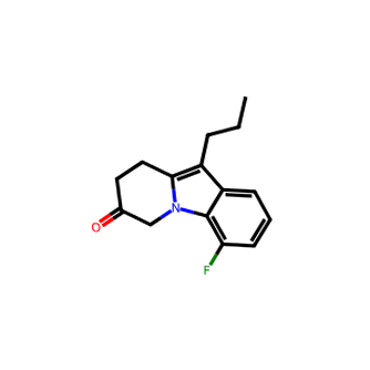 CCCc1c2n(c3c(F)cccc13)CC(=O)CC2